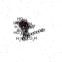 CCOCCOCCOCCOCCOCCOCCC(=O)NC(CCC(=O)O)C(=O)NC(CCCNC(=N)N)C(=O)NC(CC(=O)O)C(=O)N1CCCC1C(=O)NC(CC1C=CC(O)=CC1)C(=O)NC(CO)C(=O)N1CC(O)CC1C(=O)NC(CO)C(=O)NC(CCC(N)=O)C(=O)NC(CC(=O)O)C(=O)N1CCCC1C(=O)NC(Cc1ccc(O)cc1)C(=O)NC(CO)C(=O)N1CC(O)CC1C(=O)NC(CO)C(N)=O